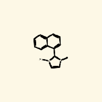 CC(=O)N1C=CN(C)C1c1cccc2ccccc12